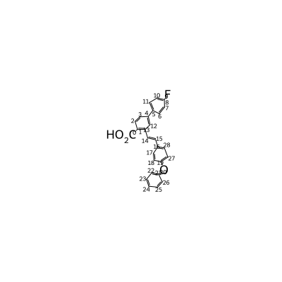 O=C(O)c1ccc(-c2ccc(F)cc2)cc1/C=C/c1ccc(Oc2ccccc2)cc1